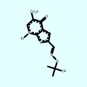 CCn1cc(C(=O)O)c(=O)c2cc(C=NOC(C)(C)C#N)sc21